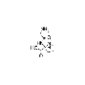 NCC(=O)N[C@]1(C(=O)O)CCCN1